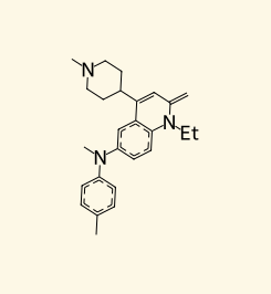 C=C1C=C(C2CCN(C)CC2)c2cc(N(C)c3ccc(C)cc3)ccc2N1CC